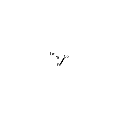 [Fe][Co].[La].[Ni]